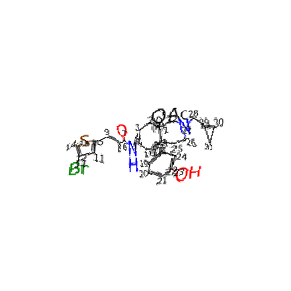 CC(=O)O[C@]12CC[C@@H](NC(=O)C=Cc3cc(Br)cs3)C[C@]1(c1cccc(O)c1)CCN(CC1CC1)C2